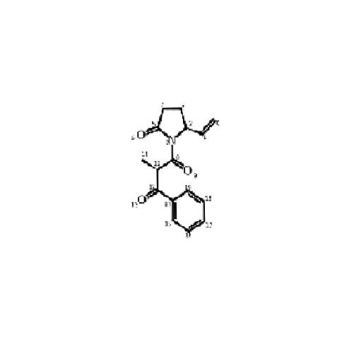 C=C[C@@H]1CCC(=O)N1C(=O)[C@H](C)C(=O)c1ccccc1